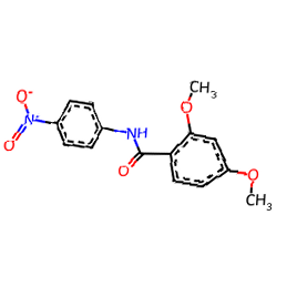 COc1ccc(C(=O)Nc2ccc([N+](=O)[O-])cc2)c(OC)c1